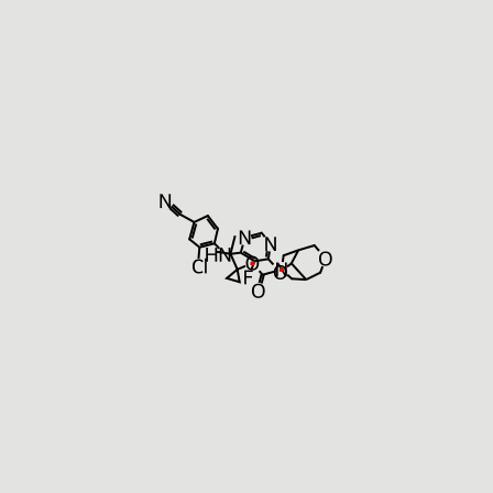 CC(C)C1(OC(=O)N2CC3COCC(C2)C3Oc2ncnc(Nc3ccc(C#N)cc3Cl)c2F)CC1